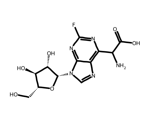 NC(C(=O)O)c1nc(F)nc2c1ncn2[C@@H]1O[C@H](CO)[C@@H](O)[C@@H]1O